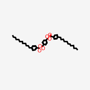 CCCCCCCCCCCCc1ccc(C(=O)OC(=O)c2ccc(C(=O)OC(=O)c3ccc(CCCCCCCCCCCC)cc3)cc2)cc1